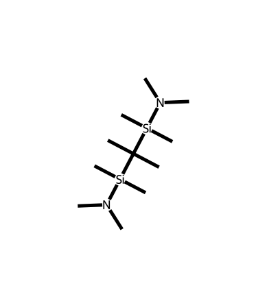 CN(C)[Si](C)(C)C(C)(C)[Si](C)(C)N(C)C